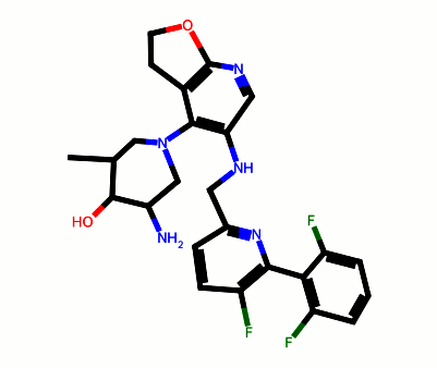 CC1CN(c2c(NCc3ccc(F)c(-c4c(F)cccc4F)n3)cnc3c2CCO3)CC(N)C1O